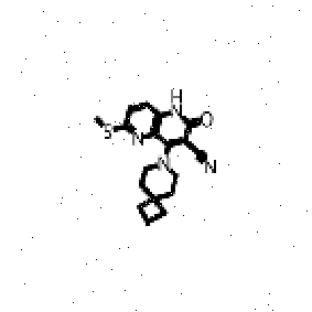 CSc1ccc2[nH]c(=O)c(C#N)c(N3CCC4(CCC4)CC3)c2n1